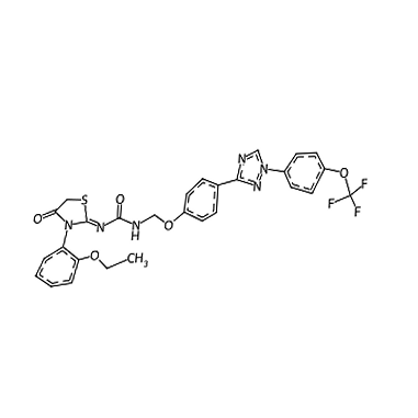 CCOc1ccccc1N1C(=O)CS/C1=N\C(=O)NCOc1ccc(-c2ncn(-c3ccc(OC(F)(F)F)cc3)n2)cc1